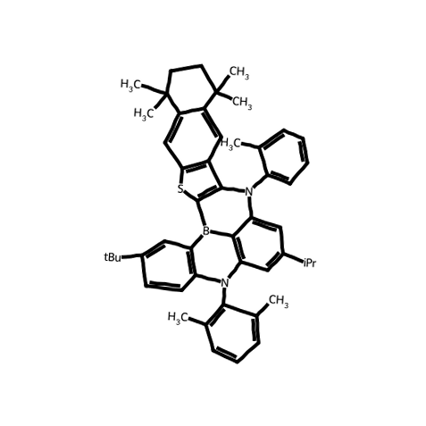 Cc1ccccc1N1c2cc(C(C)C)cc3c2B(c2cc(C(C)(C)C)ccc2N3c2c(C)cccc2C)c2sc3cc4c(cc3c21)C(C)(C)CCC4(C)C